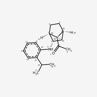 CC(=O)N1[C@H]2CC[C@@H]1[C@@H](Nc1ccccc1C(C)C)C2